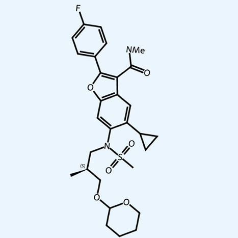 CNC(=O)c1c(-c2ccc(F)cc2)oc2cc(N(C[C@H](C)COC3CCCCO3)S(C)(=O)=O)c(C3CC3)cc12